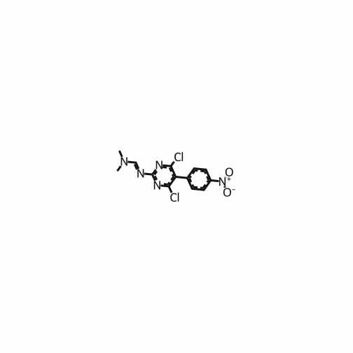 CN(C)/C=N/c1nc(Cl)c(-c2ccc([N+](=O)[O-])cc2)c(Cl)n1